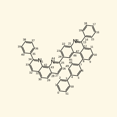 c1ccc(-c2ccc(-c3cccc4c(-c5ccccc5)nc5ccc(-c6ccc7ccc8ccc(-c9ccccc9)nc8c7n6)cc5c34)cc2)cc1